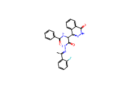 C/C(=N\NC(=O)C(NC(=O)c1ccccc1)c1n[nH]c(=O)c2ccccc12)c1ccccc1F